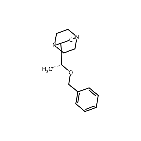 C[C@@H](OCc1ccccc1)C1CN2CCN1CC2